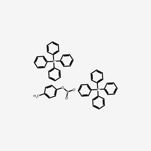 Cc1ccc(OB([O-])[O-])cc1.c1ccc([P+](c2ccccc2)(c2ccccc2)c2ccccc2)cc1.c1ccc([P+](c2ccccc2)(c2ccccc2)c2ccccc2)cc1